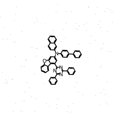 c1ccc(-c2ccc(N(c3ccc4ccccc4c3)c3cc(-c4nc(-c5ccccc5)nc(-c5ccccc5)n4)c4c(c3)oc3ccccc34)cc2)cc1